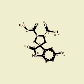 CC(C)(C)OC(=O)N1C[C@]2(C[C@H]1C(N)=O)C(=O)Nc1ccc(Br)cc12